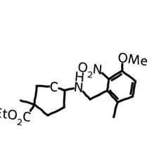 CCOC(=O)C1(C)CCC(NCc2c(C)ccc(OC)c2[N+](=O)[O-])CC1